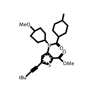 COC(=O)c1sc(C#CC(C)(C)C)cc1N(C(=O)C1CCC(C)CC1)C1CCC(OC)CC1